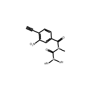 C#Cc1ccc(C(=O)N(C)C(=O)N(CCC)CCC)cc1[N+](=O)[O-]